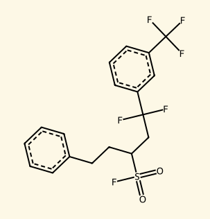 O=S(=O)(F)C(CCc1ccccc1)CC(F)(F)c1cccc(C(F)(F)F)c1